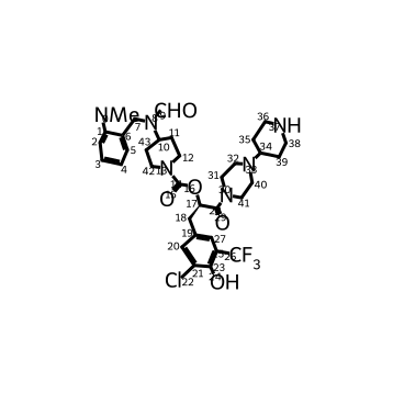 CNc1ccccc1CN(C=O)C1CCN(C(=O)O[C@H](Cc2cc(Cl)c(O)c(C(F)(F)F)c2)C(=O)N2CCN(C3CCNCC3)CC2)CC1